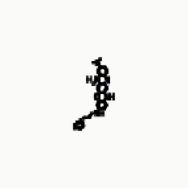 CN(C)c1ccc(/N=C2/C=C(Nc3ccc(NCCCn4ccnc4)cc3)C(=O)C=C2N)cc1